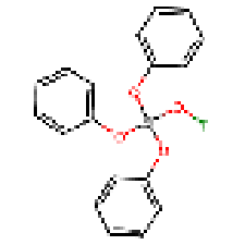 FO[Si](Oc1ccccc1)(Oc1ccccc1)Oc1ccccc1